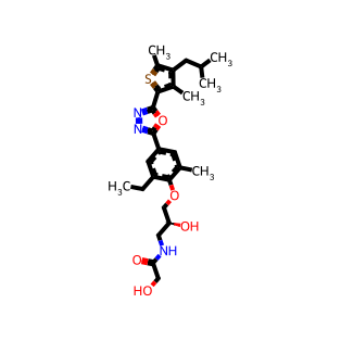 CCc1cc(-c2nnc(-c3sc(C)c(CC(C)C)c3C)o2)cc(C)c1OC[C@@H](O)CNC(=O)CO